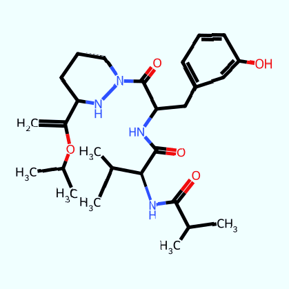 C=C(OC(C)C)C1CCCN(C(=O)C(Cc2cccc(O)c2)NC(=O)C(NC(=O)C(C)C)C(C)C)N1